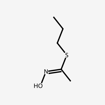 CCCSC(C)=NO